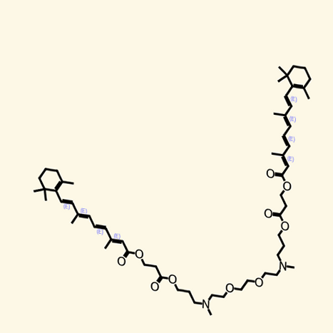 CC1=C(/C=C/C(C)=C/C=C/C(C)=C/C(=O)OCCC(=O)OCCCN(C)CCOCCOCCN(C)CCCOC(=O)CCOC(=O)/C=C(C)/C=C/C=C(C)/C=C/C2=C(C)CCCC2(C)C)C(C)(C)CCC1